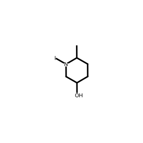 CC1CCC(O)CN1I